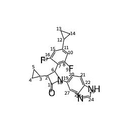 O=C1C(C2CC2)C(c2c(F)cc(C3CC3)cc2F)N1c1ccc2[nH]cnc2c1